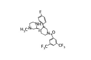 CN1CCNC([C@@H]2CCN(C(=O)c3cc(C(F)(F)F)cc(C(F)(F)F)c3)C[C@@H]2c2ccc(F)cc2)C1